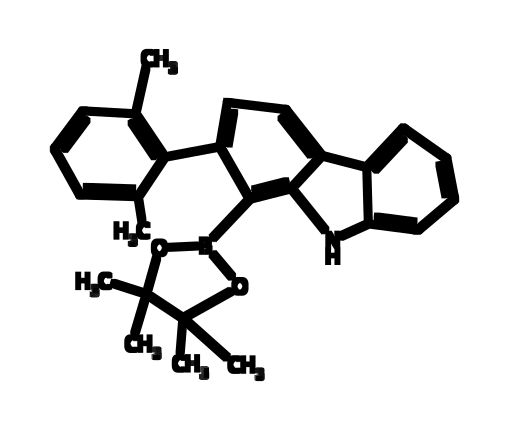 Cc1cccc(C)c1-c1ccc2c([nH]c3ccccc32)c1B1OC(C)(C)C(C)(C)O1